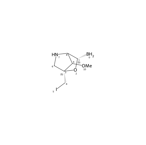 B[C@@H]1O[C@@]2(CI)CNC1C2OC